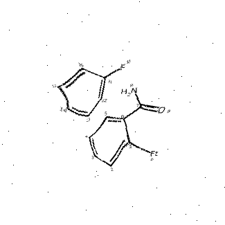 CCc1ccccc1C(N)=O.Fc1ccccc1